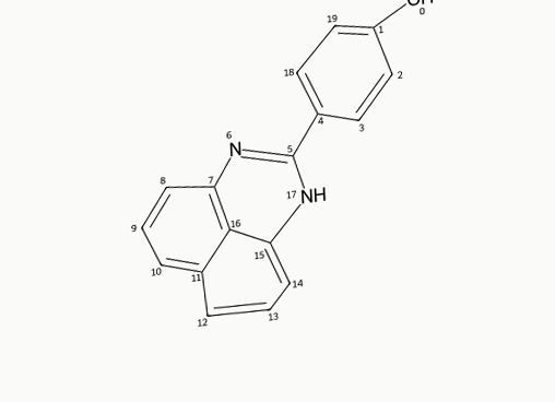 Oc1ccc(C2=Nc3cccc4cccc(c34)N2)cc1